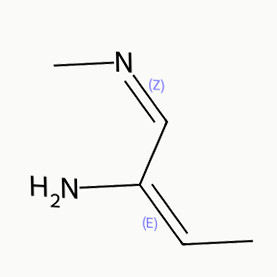 C/C=C(N)\C=N/C